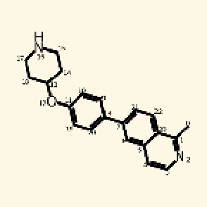 Cc1nccc2cc(-c3ccc(OC4CCNCC4)cc3)ccc12